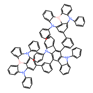 c1ccc(N2c3ccccc3B3c4ccccc4N(c4ccccc4)c4cc(-c5cccc(-c6c7c8ccccc8n(-c8ccccc8)c7c(-c7cccc(-c8cc9c%10c(c8)N(c8ccccc8)c8ccccc8B%10c8ccccc8N9c8ccccc8)c7)c7c8ccccc8n(-c8ccccc8)c67)c5)cc2c43)cc1